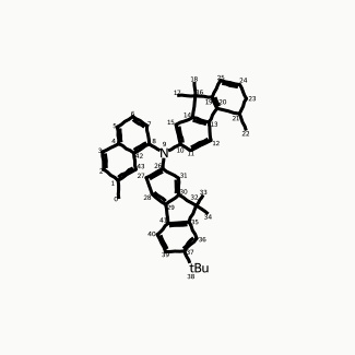 Cc1ccc2cccc(N(c3ccc4c(c3)C(C)(C)C3=C4C(C)CC=C3)c3ccc4c(c3)C(C)(C)c3cc(C(C)(C)C)ccc3-4)c2c1